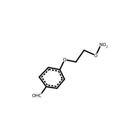 O=Cc1ccc(OCCO[N+](=O)[O-])cc1